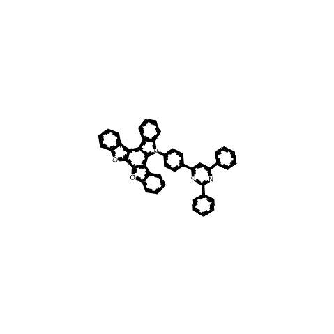 c1ccc(-c2cc(-c3ccc(-n4c5ccccc5c5c6c7ccccc7oc6c6oc7ccccc7c6c54)cc3)nc(-c3ccccc3)n2)cc1